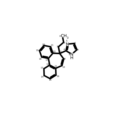 CCCC1(c2ncc[nH]2)C=CC2=C(CCC=C2)c2ccccc21